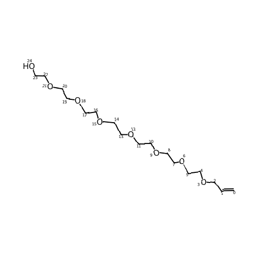 C=CCOCCOCCOCCOCCOCCOCCOCCO